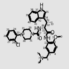 COc1ccc(CN(C)C)cc1NC(=O)[C@H](NC(=O)N1CCN(c2ccccc2Cl)CC1)[C@@H](C)c1c[nH]c2ccccc12